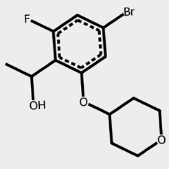 CC(O)c1c(F)cc(Br)cc1OC1CCOCC1